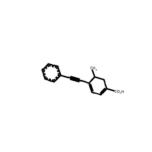 CC1CC(C(=O)O)=CC=C1C#Cc1ccccc1